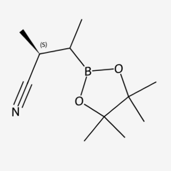 CC(B1OC(C)(C)C(C)(C)O1)[C@H](C)C#N